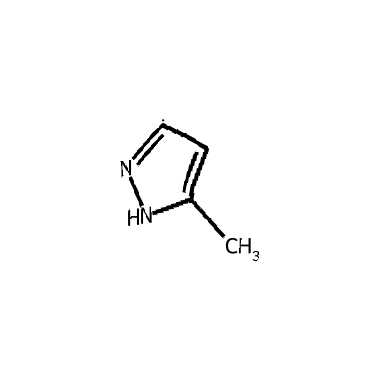 Cc1c[c]n[nH]1